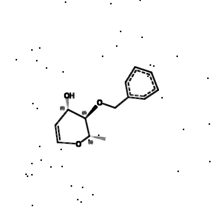 C[C@@H]1OC=C[C@H](O)[C@H]1OCc1ccccc1